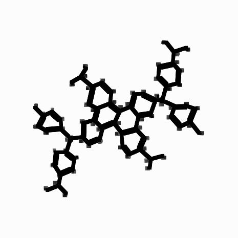 Cc1ccc(N(c2ccc(C(C)C)cc2)c2ccc3c(c2)c2cc(C(C)C)ccc2c2c4ccc(N(c5ccc(C)cc5)c5ccc(C(C)C)cc5)cc4c4cc(C(C)C)ccc4c32)cc1